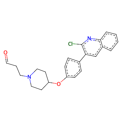 O=CCCN1CCC(Oc2ccc(-c3cc4ccccc4nc3Cl)cc2)CC1